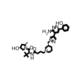 C[C@@H]1C[C@@H](O)CN1C(=O)[C@@H](NC(=O)CCCN1CCC[C@H](Cn2cc(-c3cc(-c4ccccc4O)nnc3N)cn2)C1)C(C)(C)C